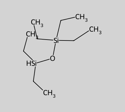 CC[SiH](CC)O[Si](CC)(CC)CC